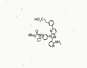 CC(C)(C)OC(=O)NC1(c2ccc(-n3c(-c4cccnc4N)nc4ccc(-c5cccc(CCC(=O)O)c5)nc43)cc2)CCC1